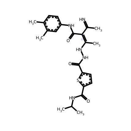 CC(=N)/C(C(=O)Nc1ccc(C)c(C)c1)=C(\C)NNC(=O)c1ccc(C(=O)NC(C)C)s1